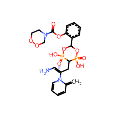 C=C1C=CC=CN1/C(=C\N)CC1P(=O)(O)OC(c2ccccc2OC(=O)N2CCOOC2)OP1(=O)O